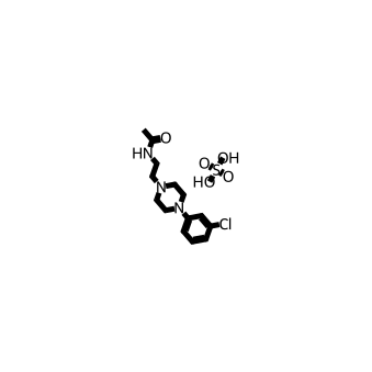 CC(=O)NCCN1CCN(c2cccc(Cl)c2)CC1.O=S(=O)(O)O